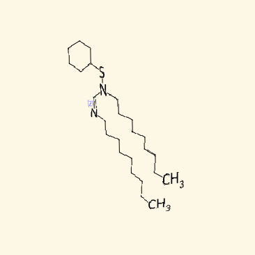 CCCCCCCCC/N=C\N(CCCCCCCCC)SC1CCCCC1